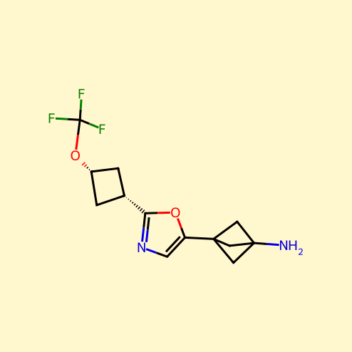 NC12CC(c3cnc([C@H]4C[C@@H](OC(F)(F)F)C4)o3)(C1)C2